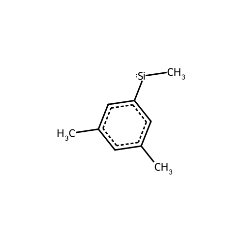 C[Si]c1cc(C)cc(C)c1